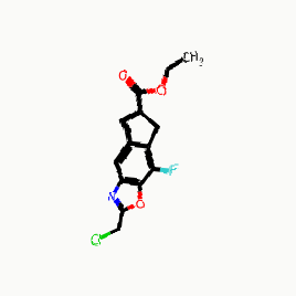 CCOC(=O)C1Cc2cc3nc(CCl)oc3c(F)c2C1